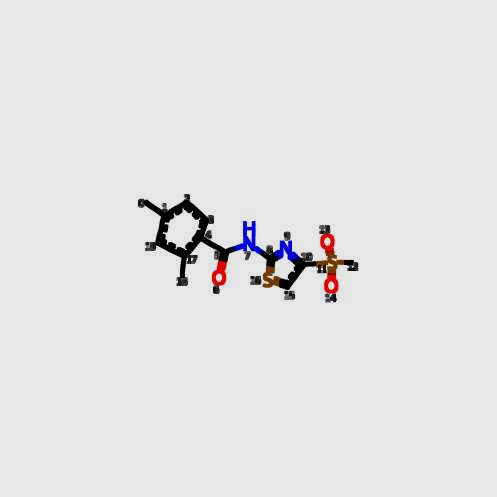 Cc1ccc(C(=O)Nc2nc(S(C)(=O)=O)cs2)c(C)c1